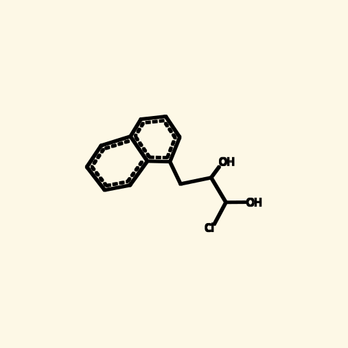 OC(Cl)C(O)Cc1cccc2ccccc12